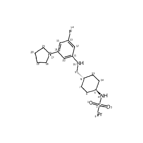 CC(C)S(=O)(=O)N[C@H]1CC[C@H](CNc2cc(F)cc(N3CCCC3)c2)CC1